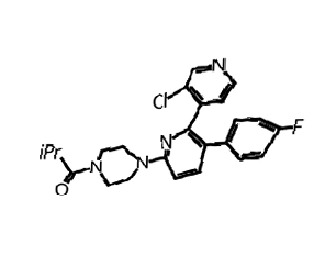 CC(C)C(=O)N1CCN(c2ccc(-c3ccc(F)cc3)c(-c3ccncc3Cl)n2)CC1